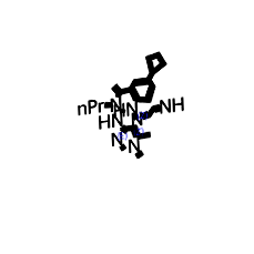 C=N/C(C)=C\C(=N/C)NCN(CCC)C(=C)c1cc(C2CCC2)ccc1N/N=C\C=N